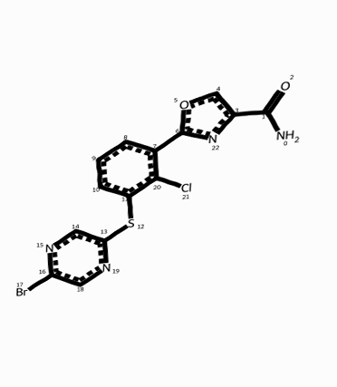 NC(=O)c1coc(-c2cccc(Sc3cnc(Br)cn3)c2Cl)n1